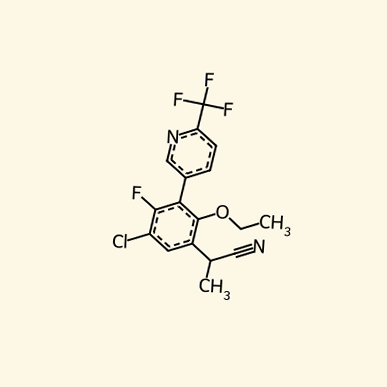 CCOc1c(C(C)C#N)cc(Cl)c(F)c1-c1ccc(C(F)(F)F)nc1